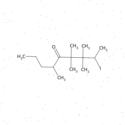 CCCC(C)C(=O)C(C)(C)C(C)(C)C(C)I